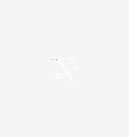 N.O.O=S(=O)(O)S.[NaH]